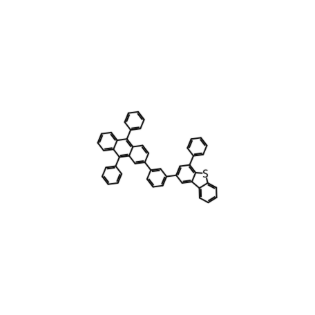 c1ccc(-c2c3ccccc3c(-c3ccccc3)c3cc(-c4cccc(-c5cc(-c6ccccc6)c6sc7ccccc7c6c5)c4)ccc23)cc1